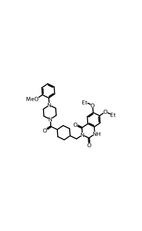 CCOc1cc2[nH]c(=O)n(CC3CCC(C(=O)N4CCN(c5ccccc5OC)CC4)CC3)c(=O)c2cc1OCC